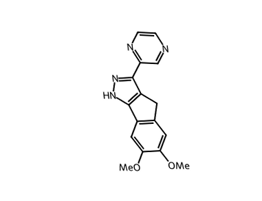 COc1cc2c(cc1OC)-c1[nH]nc(-c3cnccn3)c1C2